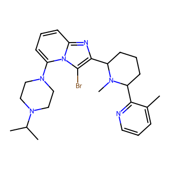 Cc1cccnc1C1CCCC(c2nc3cccc(N4CCN(C(C)C)CC4)n3c2Br)N1C